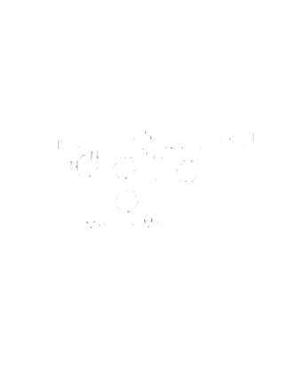 COc1ccc(CC[C@@H](OC(=O)C2CCCCN2S(=O)(=O)c2cccc(-c3ccnc(C)n3)c2)c2cccc(OCC(=O)O)c2)cc1OC